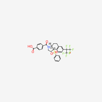 O=C(O)c1ccc(C(=O)N2CC[C@@]3(S(=O)(=O)c4ccccc4)c4ccc(C(F)(C(F)(F)F)C(F)(F)F)cc4CC[C@@H]23)cc1